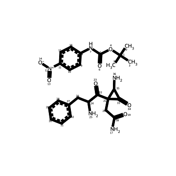 CC(C)(C)OC(=O)Nc1ccc([N+](=O)[O-])cc1.NC(=O)CC1(C(=O)C(N)Cc2ccccc2)C(=O)C1N